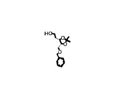 CC1(C)O[C@@H](CCO)[C@@H](COCc2ccccc2)O1